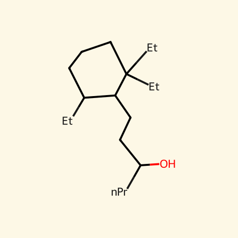 CCCC(O)CCC1C(CC)CCCC1(CC)CC